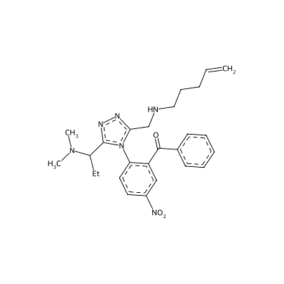 C=CCCCNCc1nnc(C(CC)N(C)C)n1-c1ccc([N+](=O)[O-])cc1C(=O)c1ccccc1